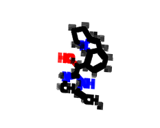 C=CN/C(=N\C)C(O)c1cccc2cc3n(c12)CCC3